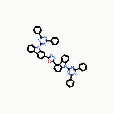 c1ccc(-c2nc(-c3ccccc3)nc(-n3c4ccccc4c4ccc(-c5nnc(-c6cccc7c6c6ccccc6n7-c6nc(-c7ccccc7)nc(-c7ccccc7)n6)o5)cc43)n2)cc1